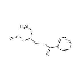 C=CCC(CN)CCC(=S)c1ccccc1